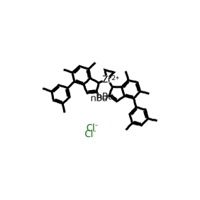 CCCCC1=Cc2c(-c3cc(C)cc(C)c3)c(C)cc(C)c2[CH]1[Zr+2]1([CH]2C(CCCC)=Cc3c(-c4cc(C)cc(C)c4)c(C)cc(C)c32)[CH2][CH2]1.[Cl-].[Cl-]